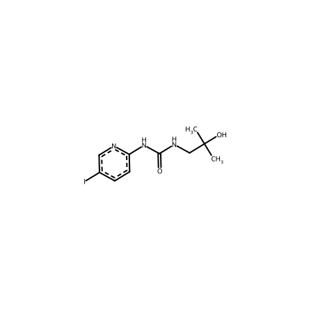 CC(C)(O)CNC(=O)Nc1ccc(I)cn1